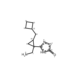 NCC1(c2noc(=O)[nH]2)CC1CC1CCC1